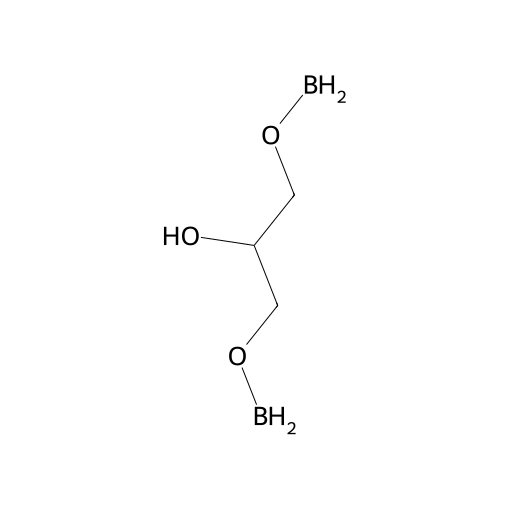 BOCC(O)COB